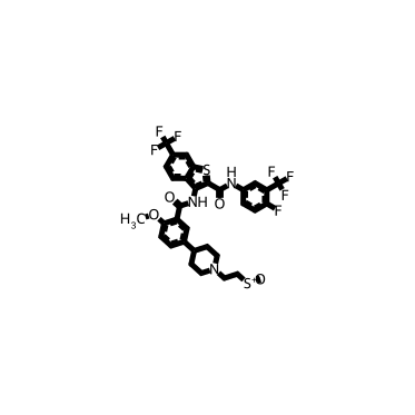 COc1ccc(C2CCN(CC[S+]=O)CC2)cc1C(=O)Nc1c(C(=O)Nc2ccc(F)c(C(F)(F)F)c2)sc2cc(C(F)(F)F)ccc12